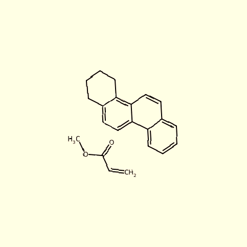 C=CC(=O)OC.c1ccc2c(c1)ccc1c3c(ccc12)CCCC3